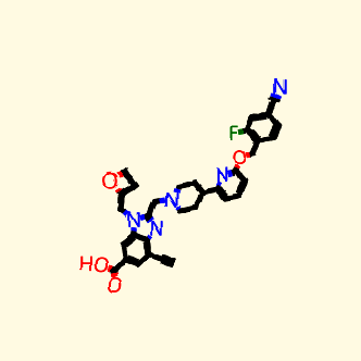 C#Cc1cc(C(=O)O)cc2c1nc(CN1CCC(c3cccc(OCc4ccc(C#N)cc4F)n3)CC1)n2CC1CCO1